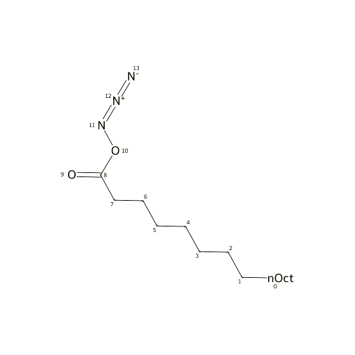 CCCCCCCCCCCCCCCC(=O)ON=[N+]=[N-]